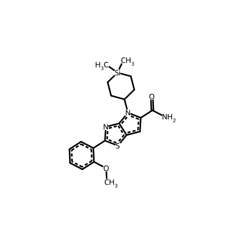 COc1ccccc1-c1nc2c(cc(C(N)=O)n2C2CC[Si](C)(C)CC2)s1